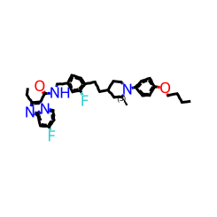 CCCCOc1ccc(N2CCC(CCc3ccc(CNC(=O)c4c(CC)nc5cc(F)ccn45)cc3F)C[C@@H]2C)cc1